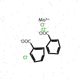 O=C([O-])c1ccccc1.O=C([O-])c1ccccc1.[Cl-].[Cl-].[Cl-].[Mo+5]